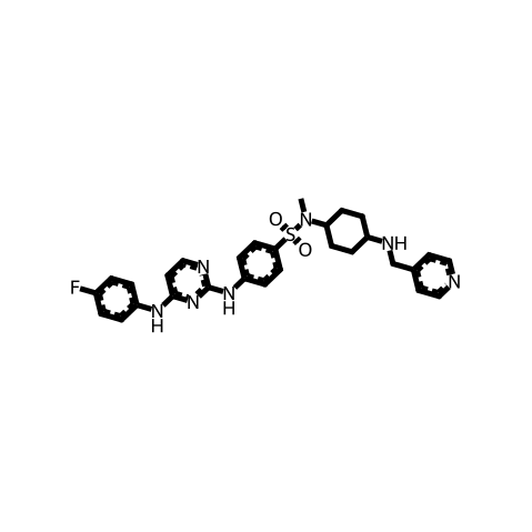 CN(C1CCC(NCc2ccncc2)CC1)S(=O)(=O)c1ccc(Nc2nccc(Nc3ccc(F)cc3)n2)cc1